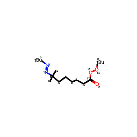 CC(C)(C)/N=N/C(C)(C)CCCCCC(=O)OOC(C)(C)C